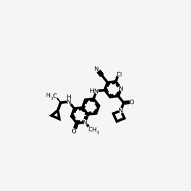 C[C@@H](Nc1cc(=O)n(C)c2ccc(Nc3cc(C(=O)N4CCC4)nc(Cl)c3C#N)cc12)C1CC1